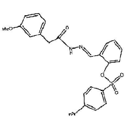 CCCc1ccc(S(=O)(=O)Oc2ccccc2C=NNC(=O)Cc2cccc(OC)c2)cc1